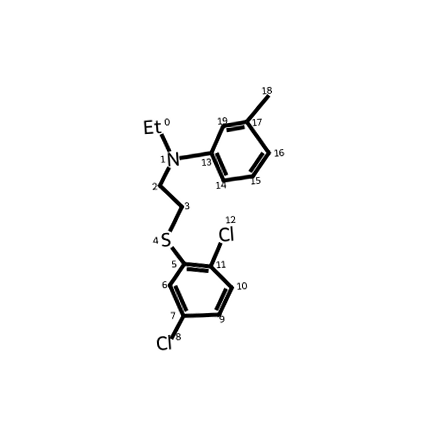 CCN(CCSc1cc(Cl)ccc1Cl)c1cccc(C)c1